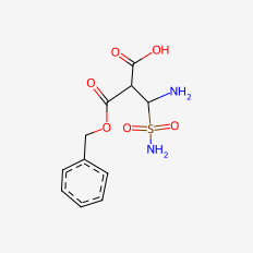 NC(C(C(=O)O)C(=O)OCc1ccccc1)S(N)(=O)=O